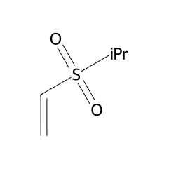 C=CS(=O)(=O)C(C)C